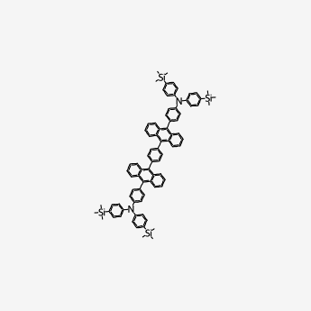 C[Si](C)(C)c1ccc(N(c2ccc(-c3c4ccccc4c(-c4ccc(-c5c6ccccc6c(-c6ccc(N(c7ccc([Si](C)(C)C)cc7)c7ccc([Si](C)(C)C)cc7)cc6)c6ccccc56)cc4)c4ccccc34)cc2)c2ccc([Si](C)(C)C)cc2)cc1